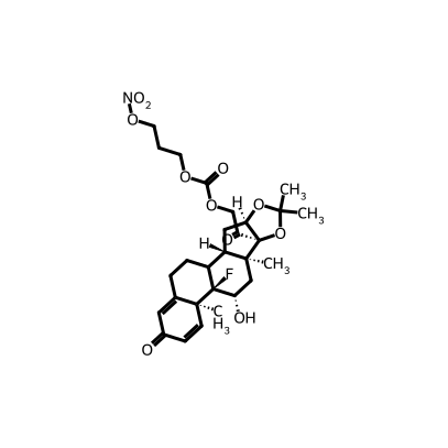 CC1(C)O[C@@H]2C[C@H]3C4CCC5=CC(=O)C=C[C@]5(C)[C@@]4(F)[C@@H](O)C[C@]3(C)[C@]2(C(=O)COC(=O)OCCCO[N+](=O)[O-])O1